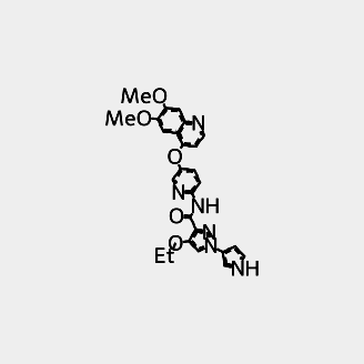 CCOc1cn(-c2cc[nH]c2)nc1C(=O)Nc1ccc(Oc2ccnc3cc(OC)c(OC)cc23)cn1